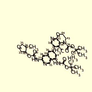 Cc1c(-c2cc(NC(=O)OC(C)(C)C)c3cnc(NC(=O)O[C@H]4COC[C@@H]4C)cc3c2)cnc2c1N(C(=O)OC(C)(C)C)CCO2